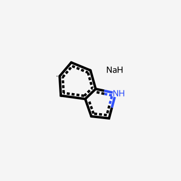 [NaH].[c]1ccc2[nH]ccc2c1